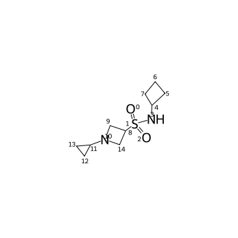 O=S(=O)(NC1CCC1)C1CN(C2CC2)C1